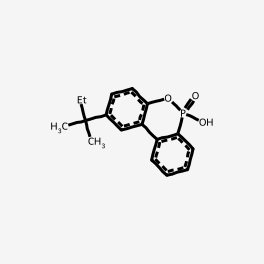 CCC(C)(C)c1ccc2c(c1)-c1ccccc1P(=O)(O)O2